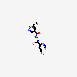 C=C/C=C(\N=C/C)C(/C)=N/NC(=O)C(/C=N\C)=C/C=C